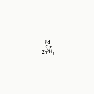 P.[Co].[Pd].[Zn]